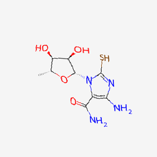 C[C@H]1O[C@@H](n2c(S)nc(N)c2C(N)=O)[C@H](O)[C@@H]1O